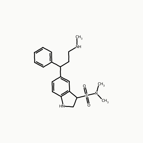 CNCCC(c1ccccc1)c1ccc2c(c1)C(S(=O)(=O)N(C)C)CN2